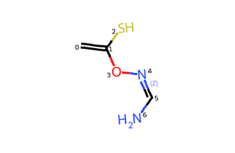 C=C(S)O/N=C\N